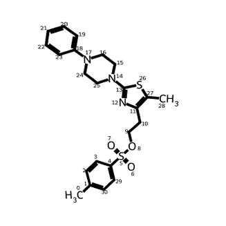 Cc1ccc(S(=O)(=O)OCCc2nc(N3CCN(c4ccccc4)CC3)sc2C)cc1